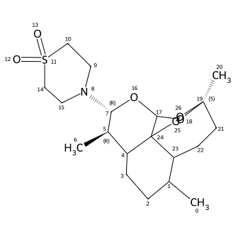 CC1CCC2[C@@H](C)[C@H](N3CCS(=O)(=O)CC3)OC3O[C@]4(C)CCC1C32OO4